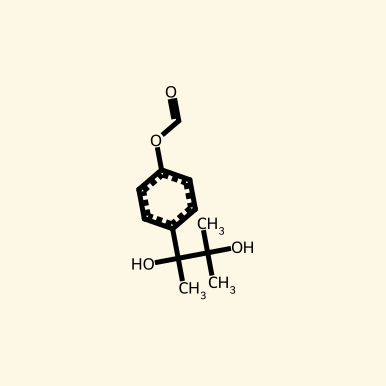 CC(C)(O)C(C)(O)c1ccc(OC=O)cc1